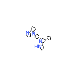 C1=CNC(c2cc(-c3ccccc3)cc(-c3ccc(-n4c5ccccc5c5ncccc54)cc3)n2)C=C1